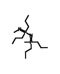 CCCP(C)(CCC)=NP(CCC)(CCC)=NC